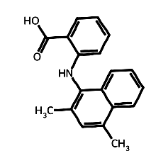 Cc1cc(C)c2ccccc2c1Nc1ccccc1C(=O)O